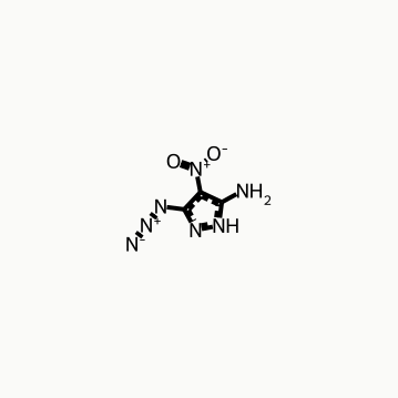 [N-]=[N+]=Nc1n[nH]c(N)c1[N+](=O)[O-]